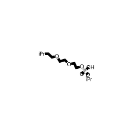 CC(C)CCOCCOCCOP(=O)(O)OC(C)C